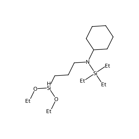 CCO[SiH](CCCN(C1CCCCC1)[Si](CC)(CC)CC)OCC